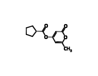 Cc1cc(OC(=O)C2CCCC2)cc(=O)o1